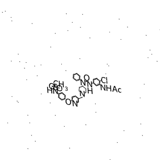 CC(=O)Nc1cc(NC(=O)N(c2ccccc2)C2CCN(Cc3ccc(Oc4ccc(NS(C)(=O)=O)cc4)nc3)CC2)ccc1Cl